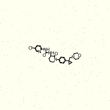 O=C(Nc1ccc(Cl)cn1)NC1CCCN(c2ccc(C3(CN4CCOCC4)CC3)cc2)C1=O